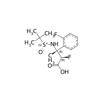 CC(C)(C)[S@@+]([O-])N[C@](C)(c1ccccc1F)[C@@H](F)C(=O)O